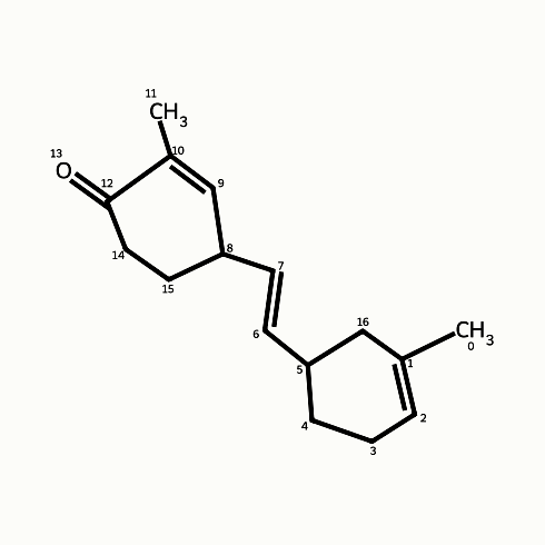 CC1=CCCC(C=CC2C=C(C)C(=O)CC2)C1